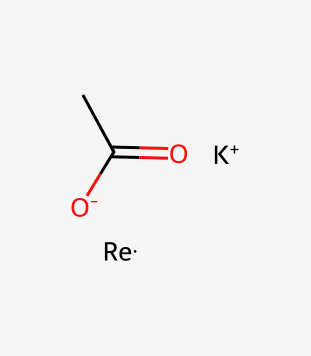 CC(=O)[O-].[K+].[Re]